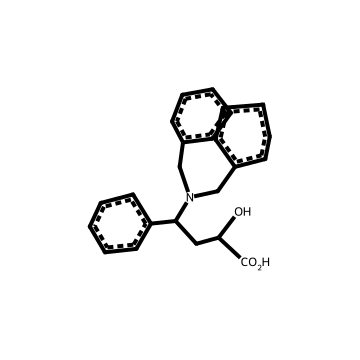 O=C(O)C(O)CC(c1ccccc1)N(Cc1ccccc1)Cc1ccccc1